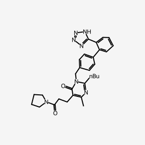 CCCCc1nc(C)c(CCC(=O)N2CCCC2)c(=O)n1Cc1ccc(-c2ccccc2-c2nnn[nH]2)cc1